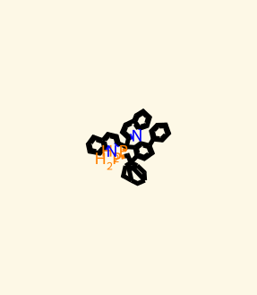 PCC1(c2ccc(-c3ccccc3)cc2C(P)(c2ccc3ccccc3n2)c2ccc3ccccc3n2)C2CC3CC(C2)CC1C3